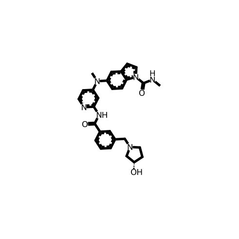 CNC(=O)n1ccc2cc(N(C)c3ccnc(NC(=O)c4cccc(CN5CC[C@H](O)C5)c4)c3)ccc21